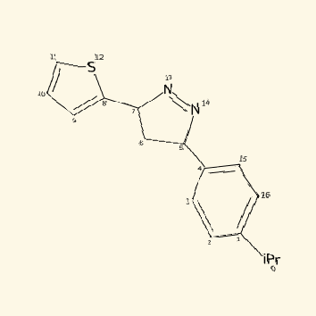 CC(C)c1ccc(C2CC(c3cccs3)N=N2)cc1